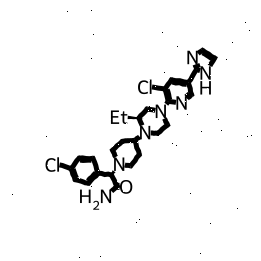 CC[C@H]1CN(c2ncc(-c3ncc[nH]3)cc2Cl)CCN1C1CCN([C@@H](C(N)=O)c2ccc(Cl)cc2)CC1